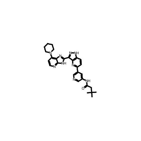 CC(C)(C)CC(=O)Nc1cncc(-c2ccc3[nH]nc(-c4nc5c(N6CCCCC6)ccnc5[nH]4)c3n2)c1